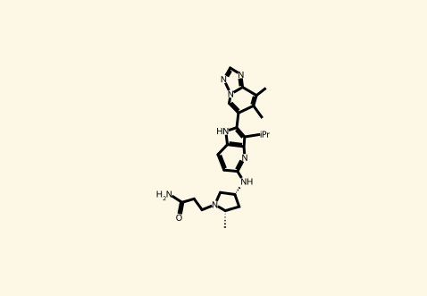 Cc1c(-c2[nH]c3ccc(N[C@@H]4C[C@H](C)N(CCC(N)=O)C4)nc3c2C(C)C)cn2ncnc2c1C